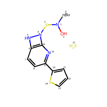 CCCCN(O)Sn1[nH]c2ccc(-c3cccs3)nc21.S